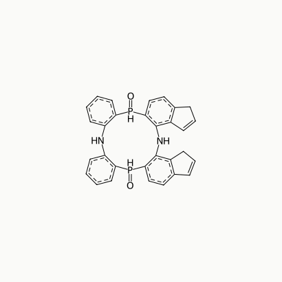 O=[PH]1c2ccccc2Nc2ccccc2[PH](=O)c2ccc3c(c2Nc2c1ccc1c2C=CC1)CC=C3